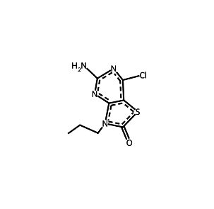 CCCn1c(=O)sc2c(Cl)nc(N)nc21